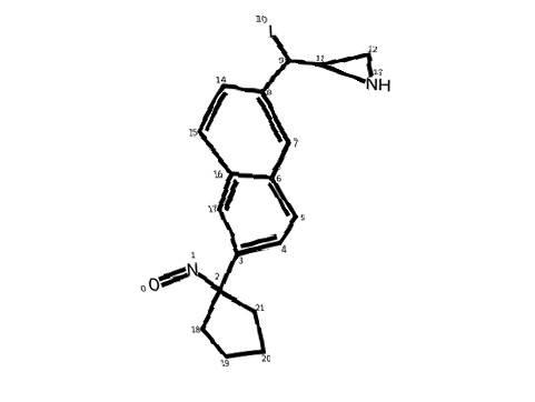 O=NC1(c2ccc3cc(C(I)C4CN4)ccc3c2)CCCC1